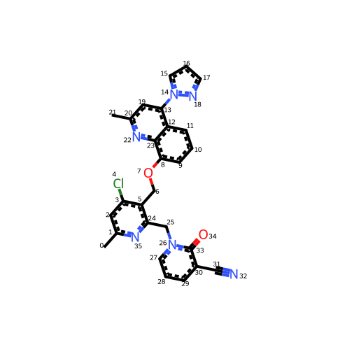 Cc1cc(Cl)c(COc2cccc3c(-n4cccn4)cc(C)nc23)c(Cn2cccc(C#N)c2=O)n1